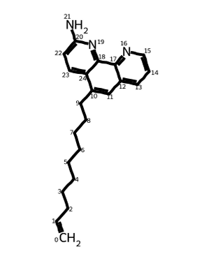 C=CCCCCCCCCc1cc2cccnc2c2nc(N)ccc12